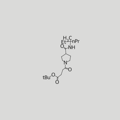 CCCC(C)(CC)NC(=O)C1CCN(C(=O)CCC(=O)OC(C)(C)C)CC1